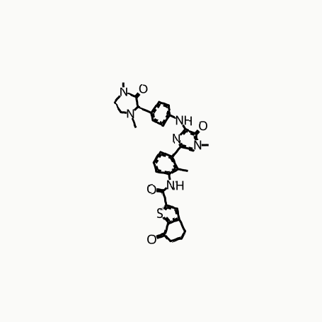 Cc1c(NC(=O)c2cc3c(s2)C(=O)CCC3)cccc1-c1cn(C)c(=O)c(Nc2ccc(C3C(=O)N(C)CCN3C)cc2)n1